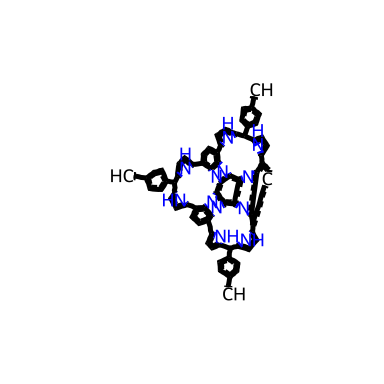 C#Cc1ccc(C2c3ccc([nH]3)-c3ccc4c5nc6c(nc35)c3nc5c(ccc7c5nc3c3nc5c(ccc(c5nc63)-c3ccc([nH]3)C(c3ccc(C#C)cc3)c3ccc-4[nH]3)-c3ccc([nH]3)C(c3ccc(C#C)cc3)c3ccc-7[nH]3)-c3ccc2[nH]3)cc1